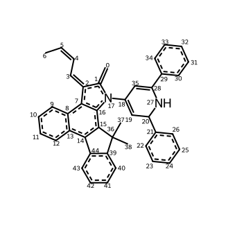 C=c1/c(=C\C=C/C)c2c3ccccc3c3c(c2n1C1=CC(c2ccccc2)NC(c2ccccc2)=C1)C(C)(C)c1ccccc1-3